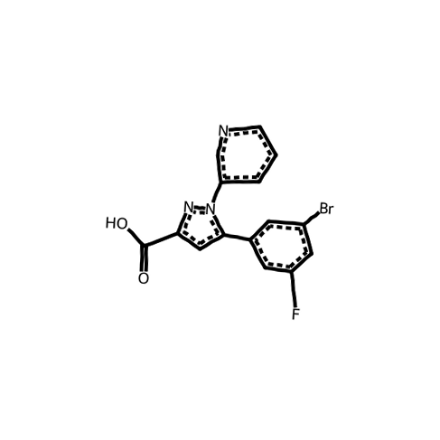 O=C(O)c1cc(-c2cc(F)cc(Br)c2)n(-c2cccnc2)n1